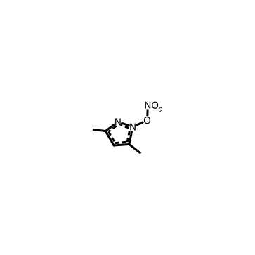 Cc1cc(C)n(O[N+](=O)[O-])n1